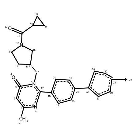 Cc1cc(=O)n(C[C@@H]2CCN(C(=O)C3CC3)C2)c(-c2ccc(-c3ccc(F)cc3)cc2)n1